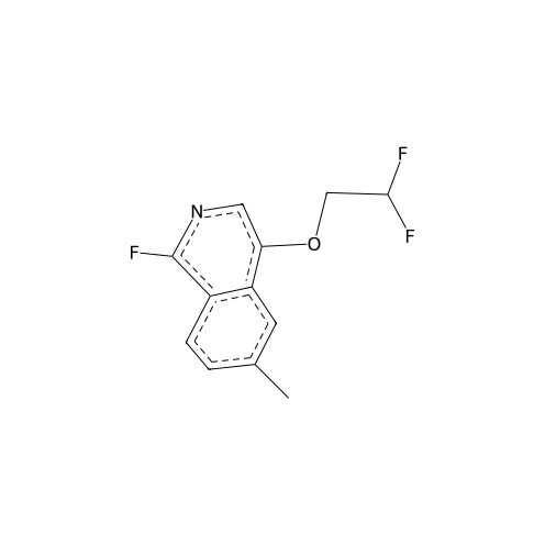 Cc1ccc2c(F)ncc(OCC(F)F)c2c1